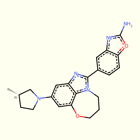 C[C@H]1CCN(c2cc3c4c(c2)nc(-c2ccc5oc(N)nc5c2)n4CCCO3)C1